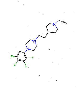 CC(=O)CN1CCC(CCN2CCN(c3cc(F)c(F)c(F)c3F)CC2)CC1